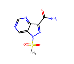 CS(=O)(=O)n1nc(C(N)=O)c2ncncc21